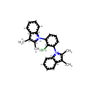 Cc1c(C)n(-c2cccc(-n3c(C)c(C)c4ccccc43)c2Br)c2ccccc12